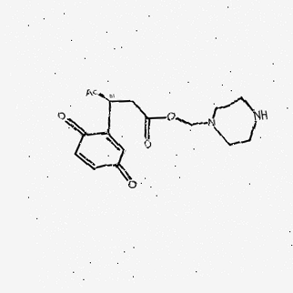 CC(=O)[C@@H](CC(=O)OCN1CCNCC1)C1=CC(=O)C=CC1=O